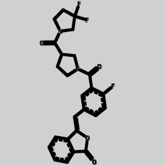 O=C1OC(=Cc2ccc(F)c(C(=O)N3CCC(C(=O)N4CCC(F)(F)C4)C3)c2)c2ccccc21